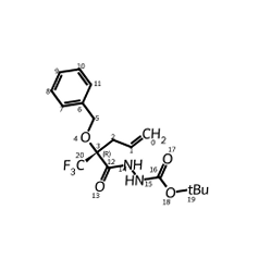 C=CC[C@@](OCc1ccccc1)(C(=O)NNC(=O)OC(C)(C)C)C(F)(F)F